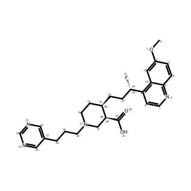 COc1ccc2nccc([C@@H](F)CC[C@@H]3CCN(CCCc4cncnc4)C[C@@H]3C(=O)O)c2c1